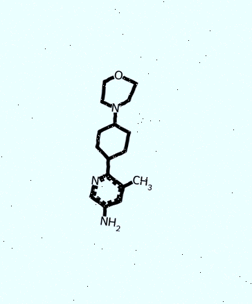 Cc1cc(N)cnc1C1CCC(N2CCOCC2)CC1